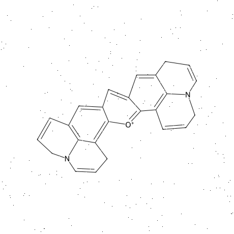 C1=CN2CC=Cc3c2c(cc2cc4cc5c6c(c4[o+]c32)CC=CN6CC=C5)C1